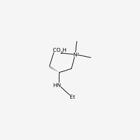 CCN[C@H](CC(=O)O)C[N+](C)(C)C